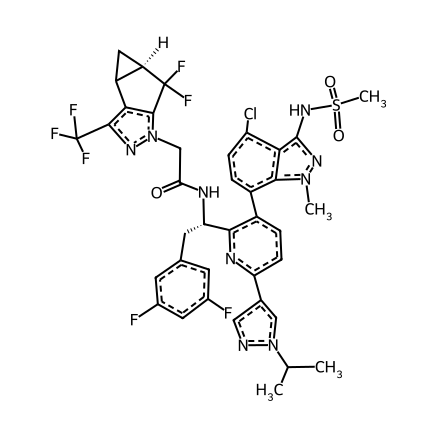 CC(C)n1cc(-c2ccc(-c3ccc(Cl)c4c(NS(C)(=O)=O)nn(C)c34)c([C@H](Cc3cc(F)cc(F)c3)NC(=O)Cn3nc(C(F)(F)F)c4c3C(F)(F)[C@@H]3CC43)n2)cn1